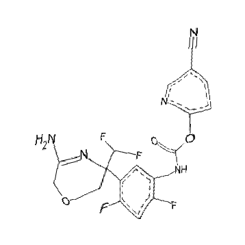 N#Cc1ccc(OC(=O)Nc2cc(C3(C(F)F)COCC(N)=N3)c(F)cc2F)nc1